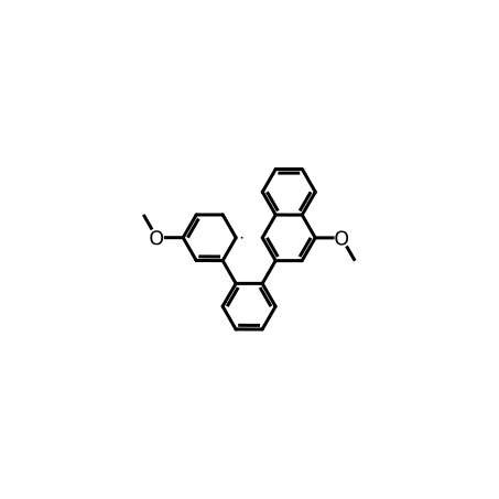 COC1=CC[CH]C(c2ccccc2-c2cc(OC)c3ccccc3c2)=C1